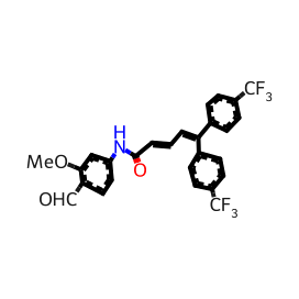 COc1cc(NC(=O)C=CC=C(c2ccc(C(F)(F)F)cc2)c2ccc(C(F)(F)F)cc2)ccc1C=O